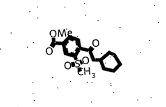 COC(=O)c1ccc(C(=O)CC2CCCCC2)c(S(C)(=O)=O)c1